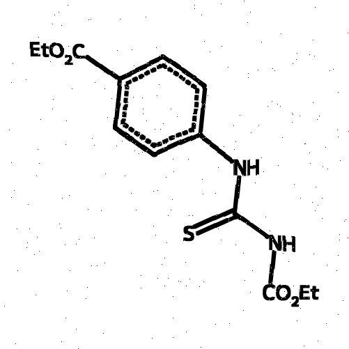 CCOC(=O)NC(=S)Nc1ccc(C(=O)OCC)cc1